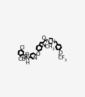 Cn1c(C(=O)N2CCN(Cc3ccc(OCC(F)(F)F)cc3)CC2)cc2ccc(Oc3ccc(NS(=O)(=O)c4cc(Cl)ccc4Cl)cn3)cc21